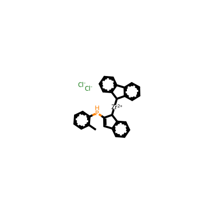 Cc1ccccc1PC1=Cc2ccccc2[CH]1[Zr+2][CH]1c2ccccc2-c2ccccc21.[Cl-].[Cl-]